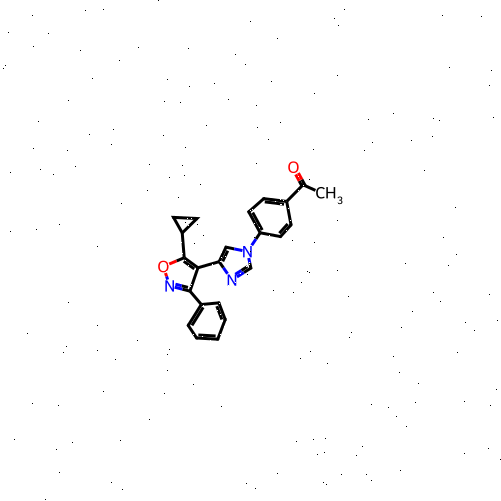 CC(=O)c1ccc(-n2cnc(-c3c(-c4ccccc4)noc3C3CC3)c2)cc1